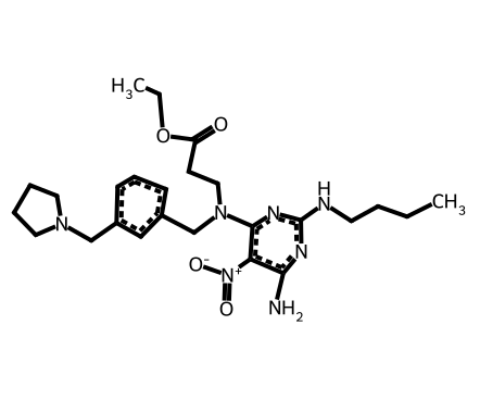 CCCCNc1nc(N)c([N+](=O)[O-])c(N(CCC(=O)OCC)Cc2cccc(CN3CCCC3)c2)n1